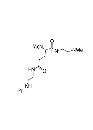 CNCCNC(=O)C(CCC(=O)NCCNC(C)C)NC